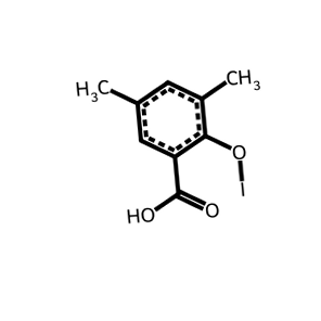 Cc1cc(C)c(OI)c(C(=O)O)c1